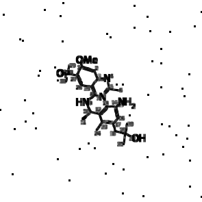 COc1cc2nc(C)nc(N[C@H](C)c3cc(N)cc(CC(C)(C)O)c3C)c2cc1P(C)(C)=O